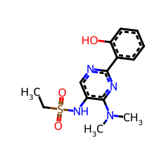 CCS(=O)(=O)Nc1cnc(-c2ccccc2O)nc1N(C)C